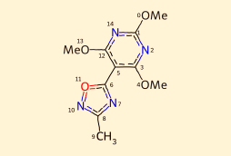 COc1nc(OC)c(-c2nc(C)no2)c(OC)n1